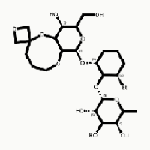 CC[C@@H]1CCC[C@@H](O[C@@H]2OC(CO)[C@H](O)C3OC4(CCCOC32)COC4)C1O[C@@H]1OC(C)[C@@H](O)C(O)[C@@H]1O